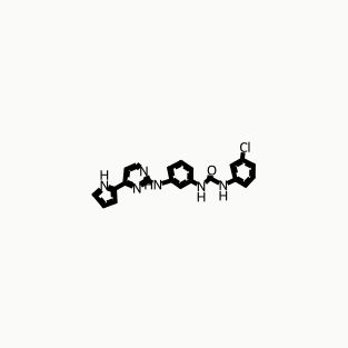 O=C(Nc1cccc(Cl)c1)Nc1cccc(Nc2nccc(-c3ccc[nH]3)n2)c1